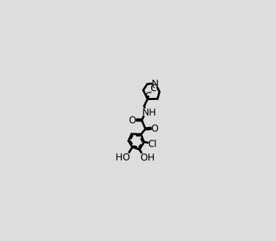 O=C(NCC12CCN(CC1)CC2)C(=O)c1ccc(O)c(O)c1Cl